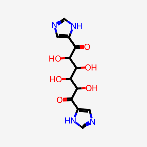 O=C(c1cnc[nH]1)C(O)C(O)C(O)C(O)C(=O)c1cnc[nH]1